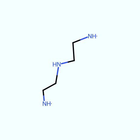 [NH]CCNCC[NH]